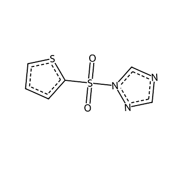 O=S(=O)(c1cccs1)n1cncn1